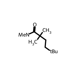 CNC(=O)C(C)(C)CCC(C)(C)C